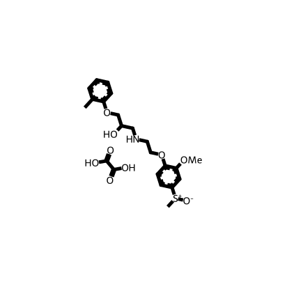 COc1cc([S+](C)[O-])ccc1OCCNCC(O)COc1ccccc1C.O=C(O)C(=O)O